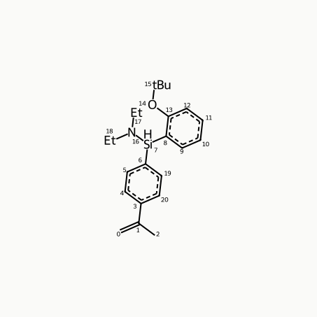 C=C(C)c1ccc([SiH](c2ccccc2OC(C)(C)C)N(CC)CC)cc1